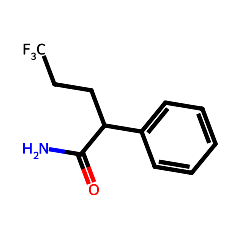 NC(=O)C(CCC(F)(F)F)c1ccccc1